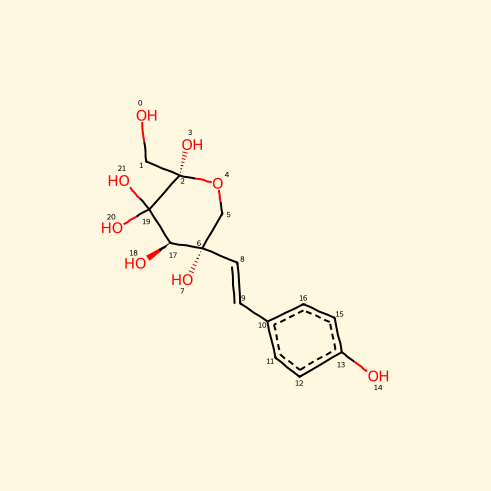 OC[C@@]1(O)OC[C@@](O)(/C=C/c2ccc(O)cc2)[C@@H](O)C1(O)O